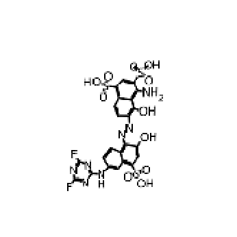 Nc1c(S(=O)(=O)O)cc(S(=O)(=O)O)c2ccc(N=Nc3c(O)cc(S(=O)(=O)O)c4cc(Nc5nc(F)nc(F)n5)ccc34)c(O)c12